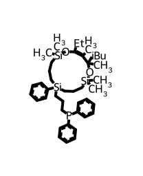 CC/C1=C(\C)C(C)(C(C)CC)O[Si](C)(C)CCC[Si](CCCP(c2ccccc2)c2ccccc2)(c2ccccc2)CCC[Si](C)(C)O1